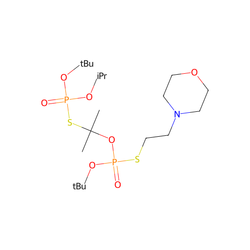 CC(C)OP(=O)(OC(C)(C)C)SC(C)(C)OP(=O)(OC(C)(C)C)SCCN1CCOCC1